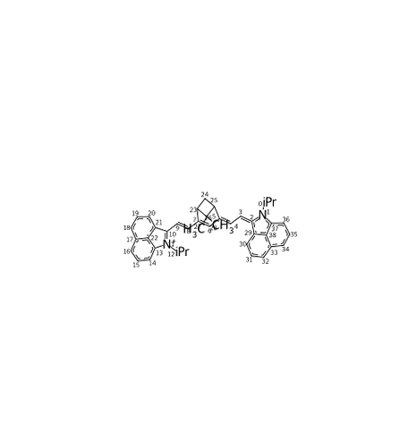 CC(C)n1/c(=C/C=C2C=C(/C=C/C3=[N+](C(C)C)c4cccc5cccc3c45)C3CC/2C3(C)C)c2cccc3cccc1c32